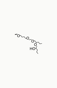 C=COCCCCOCCOCC(CCC)OCC(O)CCC